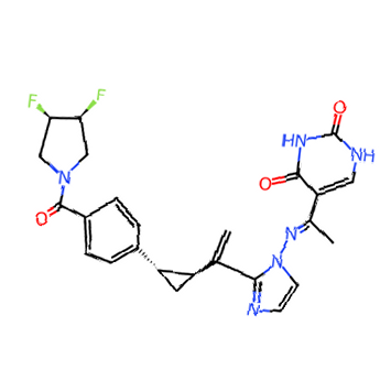 C=C(c1nccn1/N=C(\C)c1c[nH]c(=O)[nH]c1=O)[C@H]1C[C@@H]1c1ccc(C(=O)N2C[C@@H](F)[C@@H](F)C2)cc1